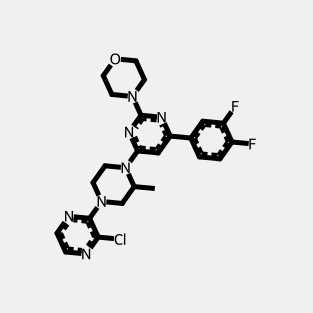 CC1CN(c2nccnc2Cl)CCN1c1cc(-c2ccc(F)c(F)c2)nc(N2CCOCC2)n1